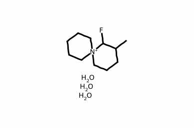 CC1CCC[N+]2(CCCCC2)C1F.O.O.O